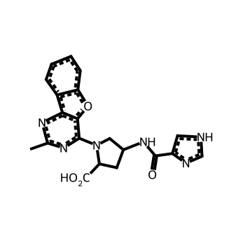 Cc1nc(N2CC(NC(=O)c3c[nH]cn3)CC2C(=O)O)c2oc3ccccc3c2n1